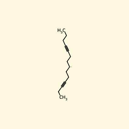 CCC#CCC[CH]CCC#CCCC